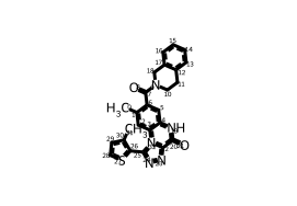 Cc1cc2c(cc1C(=O)N1CCc3ccccc3C1)[nH]c(=O)c1nnc(-c3sccc3C)n12